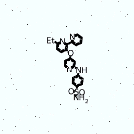 CCc1ccc(Oc2ccnc(Nc3ccc(S(N)(=O)=O)cc3)c2)c(-c2ccccn2)n1